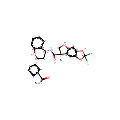 COC(=O)c1cccc([C@H]2C[C@@H](NC(=O)[C@@]3(C)COc4cc5c(cc43)OC(F)(F)O5)c3ccccc3O2)c1